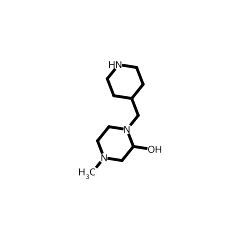 CN1CCN(CC2CCNCC2)C(O)C1